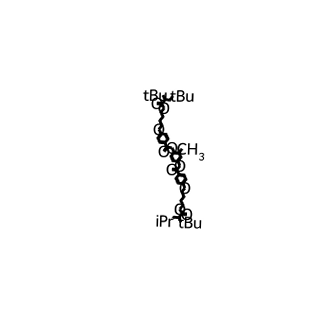 Cc1cc(OC(=O)c2ccc(OCCCCOC(=O)C(CC(C)C)C(C)(C)C)cc2)ccc1OC(=O)c1ccc(OCCCCOC(=O)C(CC(C)(C)C)C(C)(C)C)cc1